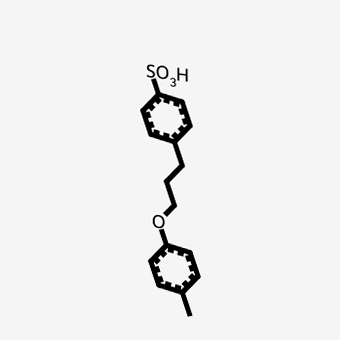 Cc1ccc(OCCCc2ccc(S(=O)(=O)O)cc2)cc1